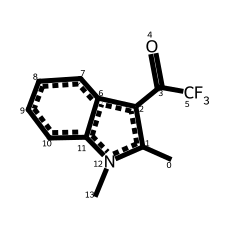 Cc1c(C(=O)C(F)(F)F)c2ccccc2n1C